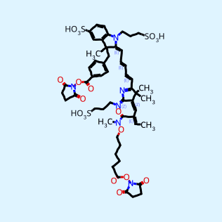 C\C=C(/C=C1\C(=N\CCCS(=O)(=O)O)N=C(/C=C/C=C/C=C2/N(CCCS(=O)(=O)O)c3ccc(S(=O)(=O)O)cc3C2(C)Cc2ccc(C(=O)ON3C(=O)CCC3=O)cc2)C1(C)C)C(=O)N(C)OCCCCCC(=O)ON1C(=O)CCC1=O